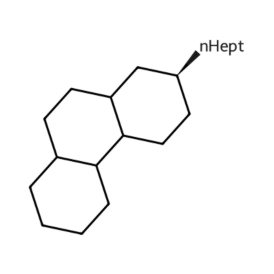 CCCCCCC[C@H]1CCC2C(CCC3CCCCC32)C1